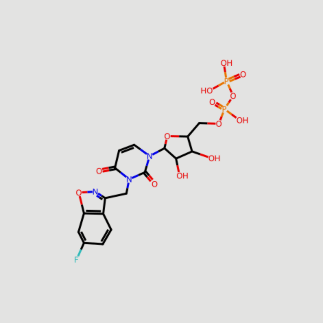 O=c1ccn(C2OC(COP(=O)(O)OP(=O)(O)O)C(O)C2O)c(=O)n1Cc1noc2cc(F)ccc12